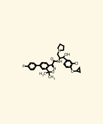 CC1(C)ON=C(C(=O)NC(CN2CCCC2)C(O)c2ccc(OC3CC3)c(Cl)c2)c2ccc(-c3ccc(F)cc3)cc21